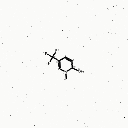 CN1C=C(C(F)(F)F)C=CC1O